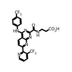 O=C(O)CCNC(=O)c1nc(Nc2ccc(C(F)(F)F)cc2)c2ccc(-c3ncccc3C(F)(F)F)nc2n1